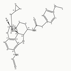 COc1ccc(CC(=O)NC2CC[C@@]3(O)[C@H]4Cc5ccc(NC=O)c6c5[C@@]3(CCN4CC3CC3)C2O6)cc1